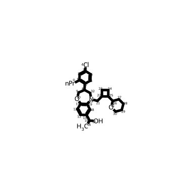 CCCc1cc(Cl)ccc1C1COc2ccc(C(C)O)cc2N(CC2CCC2C2CCCCO2)C1